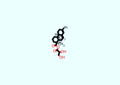 CC(C)C1=CC2=CC[C@@H]3[C@](C)(CCC[C@@]3(C)C(=O)OC(=O)C(O)CO)[C@H]2CC1